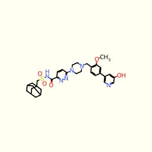 COc1cc(-c2cncc(O)c2)ccc1CN1CCN(c2ccc(C(=O)NS(=O)(=O)CC34CC5CC(CC(C5)C3)C4)nn2)CC1